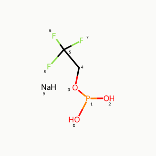 OP(O)OCC(F)(F)F.[NaH]